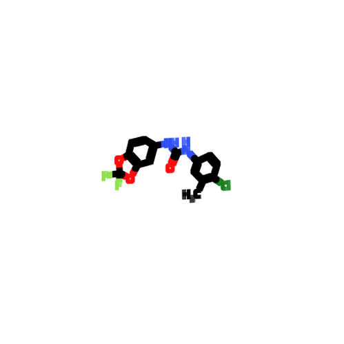 Cc1cc(NC(=O)Nc2ccc3c(c2)OC(F)(F)O3)ccc1Cl